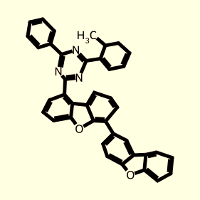 CC1CC=CC=C1c1nc(-c2ccccc2)nc(-c2cccc3oc4c(-c5ccc6oc7ccccc7c6c5)cccc4c23)n1